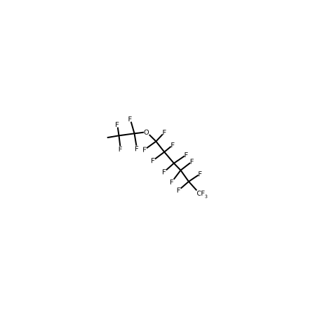 CC(F)(F)C(F)(F)OC(F)(F)C(F)(F)C(F)(F)C(F)(F)C(F)(F)C(F)(F)F